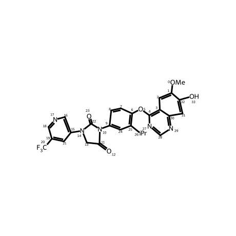 COc1cc2c(Oc3ccc(N4C(=O)CN(c5cncc(C(F)(F)F)c5)C4=O)cc3C(C)C)ncnc2cc1O